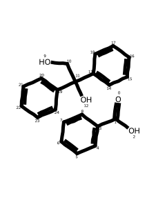 O=C(O)c1ccccc1.OCC(O)(c1ccccc1)c1ccccc1